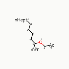 CCCCCCCCCCCC(CCC)OCC(C)=O